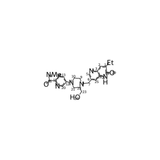 CCc1cc2ncc(CN3CCN(c4ccc(C(=O)NC)nc4)CC3CO)cc2[nH]c1=O